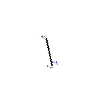 CCCCC/C=C/C/C=C/CCCCCCCCCC(N)CCC